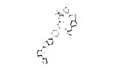 COc1cc(N2CCN([C@@H](C)CC(=O)N[C@H](C(=O)N3C[C@H](O)C[C@H]3C(=O)N[C@@H](C)c3ccc(-c4scnc4C)cc3)C(C)(C)C)CC2)ccc1NC(=O)c1cccc(-c2cc[nH]n2)n1